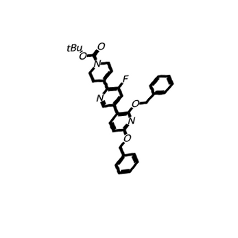 CC(C)(C)OC(=O)N1CC=C(c2ncc(-c3ccc(OCc4ccccc4)nc3OCc3ccccc3)cc2F)CC1